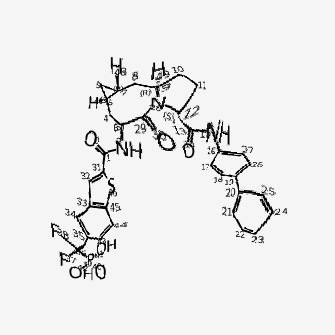 O=C(N[C@H]1C[C@@H]2C[C@@H]2C[C@H]2CC[C@@H](C(=O)Nc3ccc(-c4ccccc4)cc3)N2C1=O)c1cc2cc(C(F)(F)P(=O)(O)O)ccc2s1